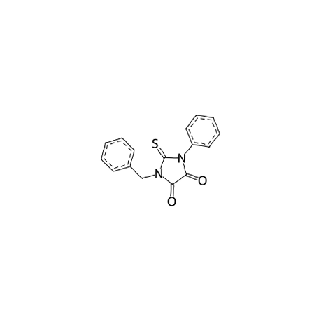 O=C1C(=O)N(c2ccccc2)C(=S)N1Cc1ccccc1